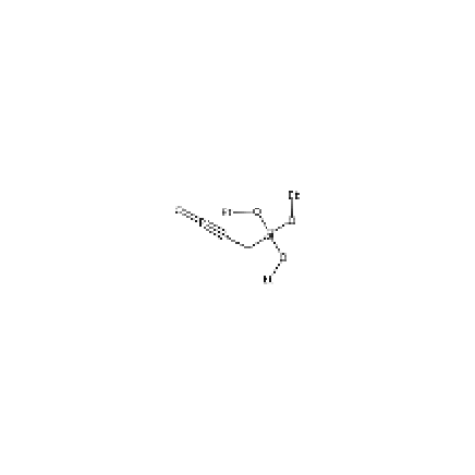 CCO[Si](CC#P=O)(OCC)OCC